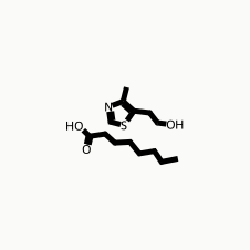 CCCCCCCC(=O)O.Cc1ncsc1CCO